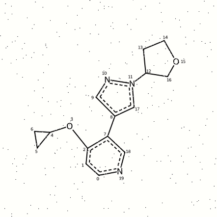 c1cc(OC2CC2)c(-c2cnn(C3CCOC3)c2)cn1